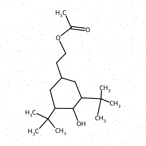 CC(=O)OCCC1CC(C(C)(C)C)C(O)C(C(C)(C)C)C1